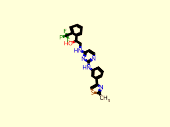 Cc1nc(-c2cccc(Nc3nccc(NCC(O)c4ccccc4C(F)(F)F)n3)c2)cs1